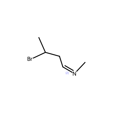 C/N=C\CC(C)Br